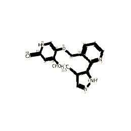 CC1C=NNC1c1ncccc1COc1c[nH]c(=O)cc1C=O